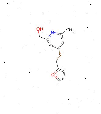 Cc1cc(SCc2ccco2)cc(CO)n1